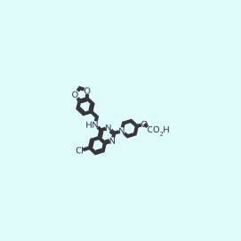 O=C(O)OC1CCN(c2nc(NCc3ccc4c(c3)OCO4)c3cc(Cl)ccc3n2)CC1